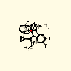 Cn1nc2c(c1-c1ccc(F)c(F)c1)C[C@H]1CC[C@@H]2N1C(=O)c1cnn(C)c1C1CC1